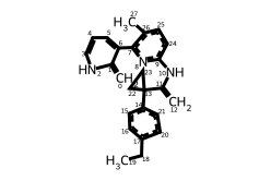 C=C1NC=CC=C1c1nc(NC(=C)C2(c3ccc(CC)cc3)CC2)ccc1C